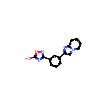 Oc1nc(-c2cccc(-c3cn4ccccc4n3)c2)no1